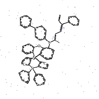 C=C/C(=C\C=C(/C)N(c1ccc(-c2ccccc2)cc1)c1cccc2c1Oc1ccccc1[Si]21c2ccccc2[Si](c2ccccc2)(c2ccccc2)c2ccccc21)c1ccccc1